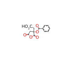 O=C(O)CC1(OC(=O)c2ccccc2)CC(=O)OC1=O